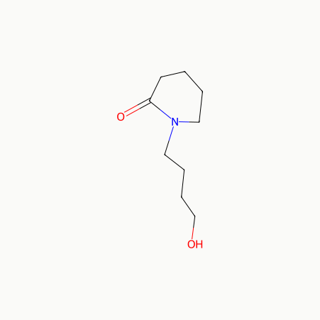 O=C1CCCCN1CCCCO